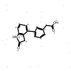 O=C(O)Cc1cccc(-c2cccc3c2CC(=O)N3)c1